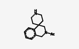 CC(=O)N1Cc2ccccc2C2(CCNCC2)C1